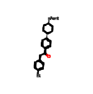 CCCCC[C@H]1CC[C@H](c2ccc(C(=O)Cc3ccc(CC)cc3)cc2)CC1